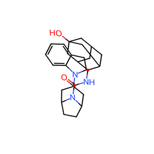 O=C(NC1C2CC3CC1CC(O)(C3)C2)N1C2CCC1CC(N1CCc3ccccc31)C2